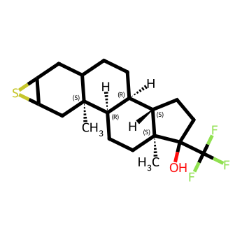 C[C@]12CC3SC3CC1CC[C@@H]1[C@H]2CC[C@@]2(C)[C@H]1CCC2(O)C(F)(F)F